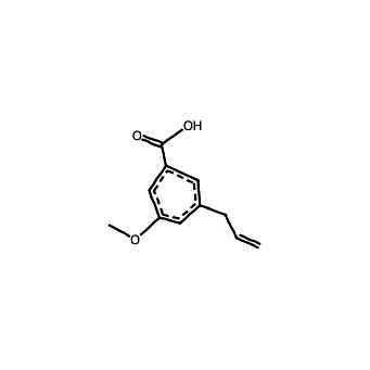 C=CCc1cc(OC)cc(C(=O)O)c1